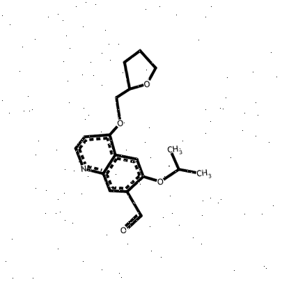 CC(C)Oc1cc2c(OCC3CCCO3)ccnc2cc1C=O